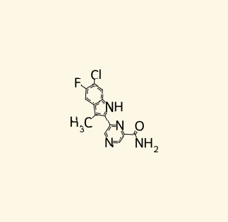 Cc1c(-c2cncc(C(N)=O)n2)[nH]c2cc(Cl)c(F)cc12